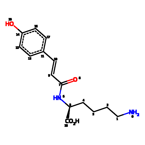 NCCCC[C@H](NC(=O)/C=C/c1ccc(O)cc1)C(=O)O